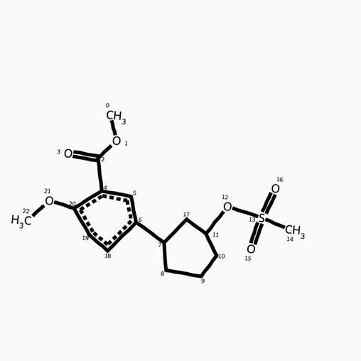 COC(=O)c1cc(C2CCCC(OS(C)(=O)=O)C2)ccc1OC